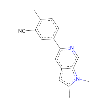 Cc1ccc(-c2cc3cc(C)n(C)c3cn2)cc1C#N